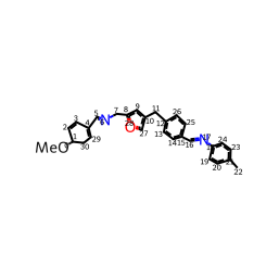 COC1C=CC(/C=N/Cc2cc(Cc3ccc(/C=N/c4ccc(C)cc4)cc3)co2)=CC1